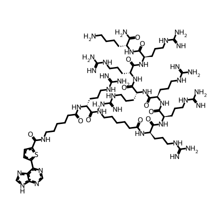 N=C(N)NCCC[C@@H](NC(=O)CCCCCNC(=O)c1ccc(-c2ncnc3[nH]cnc23)s1)C(=O)NCCCCCC(=O)N[C@H](CCCNC(=N)N)C(=O)N[C@H](CCCNC(=N)N)C(=O)N[C@H](CCCNC(=N)N)C(=O)N[C@H](CCCNC(=N)N)C(=O)N[C@H](CCCNC(=N)N)C(=O)N[C@H](CCCNC(=N)N)C(=O)N[C@H](CCCCN)C(N)=O